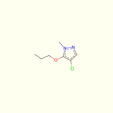 CCCOc1c(Cl)[c]nn1C